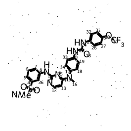 CNS(=O)(=O)c1cccc(Nc2nccc(N(C)c3ccc(NC(=O)Nc4ccc(OC(F)(F)F)cc4)cc3)n2)c1